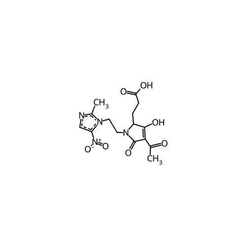 CC(=O)C1=C(O)C(CCC(=O)O)N(CCn2c([N+](=O)[O-])cnc2C)C1=O